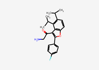 CC(C)c1ccc2oc(-c3ccc(F)cc3)c(C(=O)CN)c2c1C(C)C